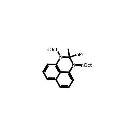 CCCCCCCCN1c2cccc3cccc(c23)N(CCCCCCCC)C1(C)CCC